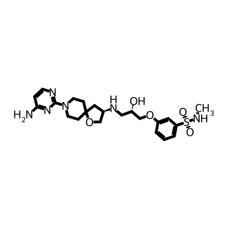 CNS(=O)(=O)c1cccc(OC[C@@H](O)CN[C@H]2COC3(CCN(c4nccc(N)n4)CC3)C2)c1